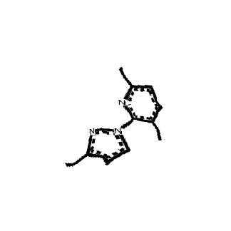 Cc1ccc(C)c(-n2ccc(C)n2)n1